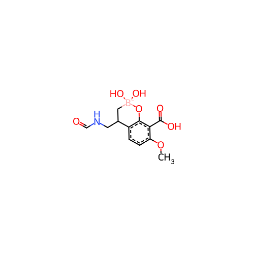 COc1ccc2c(c1C(=O)O)O[B-](O)(O)CC2CNC=O